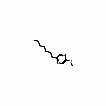 CCCCCCCc1cnc(OC)cn1